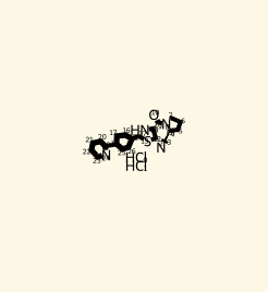 Cl.Cl.N#C[C@@H]1CCCN1C(=O)[C@@H]1CSC(c2ccc(-c3ccccn3)cc2)N1